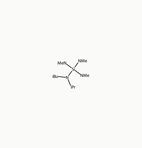 CCC(C)N(C(C)C)[Si](NC)(NC)NC